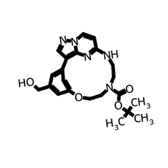 CC(C)(C)OC(=O)N1CCNc2ccn3ncc(c3n2)-c2cc(CO)cc(c2)OCC1